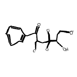 O=C(c1ccccc1)C(Cl)C(Cl)(Cl)C(O)CCl